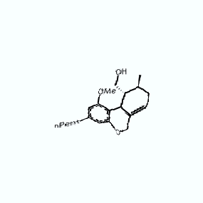 CCCCCc1cc(OC)c2c(c1)OCC1=CC[C@H](C)[C@@H](CO)C12